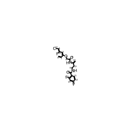 C=C/C(=C\C(F)=C\Cl)OCC(=O)NC(=C)CCNC(=O)c1ccc(F)cc1F